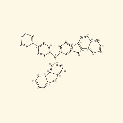 c1ccc(-c2ccc(N(c3ccc4c(c3)oc3c5cccnc5ccc43)c3ccc4sc5ccccc5c4c3)cc2)cc1